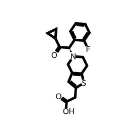 O=C(O)Cc1cc2c(s1)CCN([C@H](C(=O)C1CC1)c1ccccc1F)C2